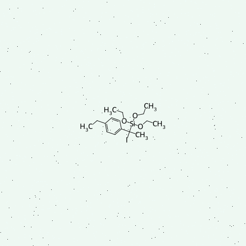 CCO[Si](OCC)(OCC)C(C)(I)c1ccc(CC)cc1